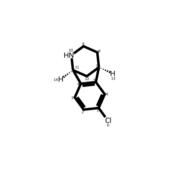 Clc1ccc2c(c1)[C@@H]1CCN[C@H]2C1